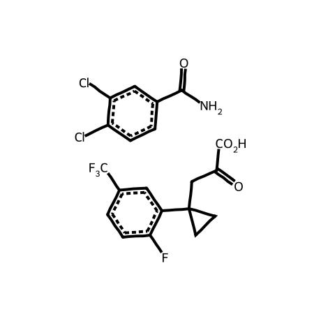 NC(=O)c1ccc(Cl)c(Cl)c1.O=C(O)C(=O)CC1(c2cc(C(F)(F)F)ccc2F)CC1